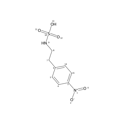 O=[N+]([O-])c1ccc(CCNS(=O)(=O)O)cc1